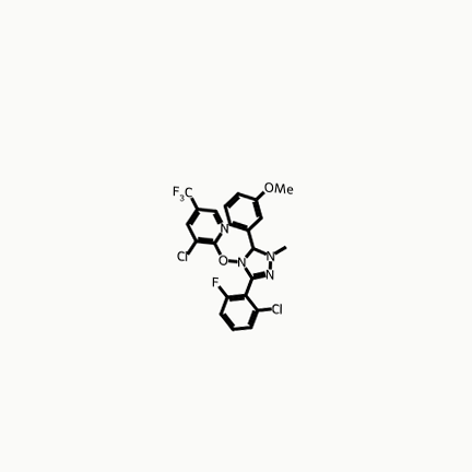 COc1cccc(C2N(C)N=C(c3c(F)cccc3Cl)N2Oc2ncc(C(F)(F)F)cc2Cl)c1